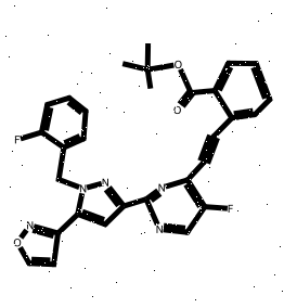 CC(C)(C)OC(=O)c1ccccc1C#Cc1nc(-c2cc(-c3ccon3)n(Cc3ccccc3F)n2)ncc1F